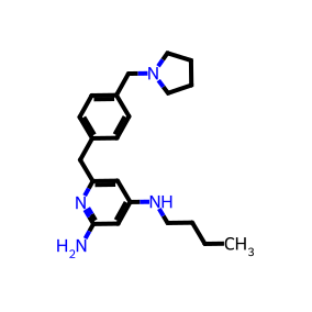 CCCCNc1cc(N)nc(Cc2ccc(CN3CCCC3)cc2)c1